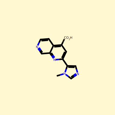 Cn1cncc1-c1cc(C(=O)O)c2ccncc2n1